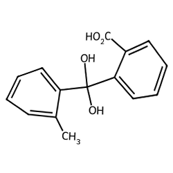 Cc1ccccc1C(O)(O)c1ccccc1C(=O)O